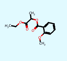 CCOC(=O)C(C)OC(=O)c1ccccc1OC